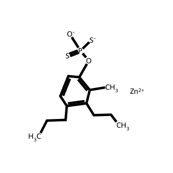 CCCc1ccc(OP([O-])(=S)[S-])c(C)c1CCC.[Zn+2]